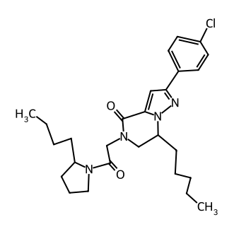 CCCCCC1CN(CC(=O)N2CCCC2CCCC)C(=O)c2cc(-c3ccc(Cl)cc3)nn21